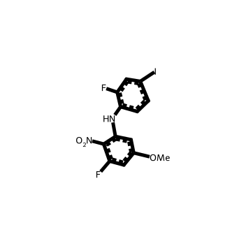 COc1cc(F)c([N+](=O)[O-])c(Nc2ccc(I)cc2F)c1